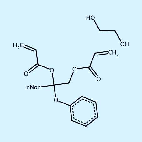 C=CC(=O)OCC(CCCCCCCCC)(OC(=O)C=C)Oc1ccccc1.OCCO